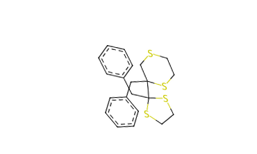 c1ccc(CC2(C3(Cc4ccccc4)SCCS3)CSCCS2)cc1